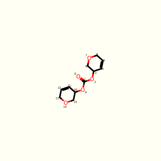 O=C(OC1C=CCOC1)OC1C=CCOC1